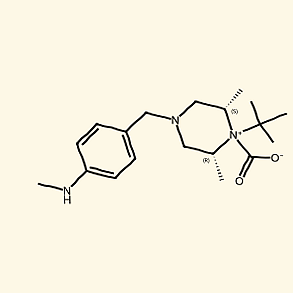 CNc1ccc(CN2C[C@@H](C)[N+](C(=O)[O-])(C(C)(C)C)[C@@H](C)C2)cc1